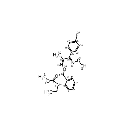 CCN(C(=O)OC)c1ccccc1CON=C(C)C(=NOC)c1ccc(F)cc1